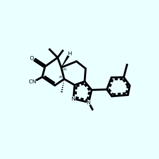 [C-]#[N+]C1=C[C@]2(C)c3nn(C)c(-c4cccc(C)c4)c3CC[C@H]2C(C)(C)C1=O